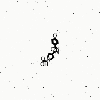 COc1ccc(-c2nnc(C3CCN(CC(=O)O)CC3)o2)cc1